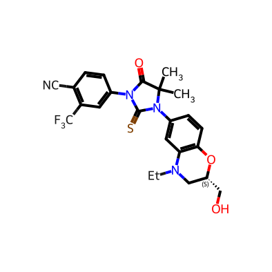 CCN1C[C@@H](CO)Oc2ccc(N3C(=S)N(c4ccc(C#N)c(C(F)(F)F)c4)C(=O)C3(C)C)cc21